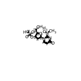 CN(C)c1nc(=O)ccn1[C@H]1C[C@H](OP(=O)(O)O)[C@@H](CO)O1